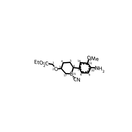 CCOC(=O)COC1CCC(c2ccc(N)c(OC)c2)B(C#N)C1